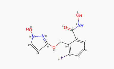 O=C(NO)c1cccc(I)c1COc1ccn(O)n1